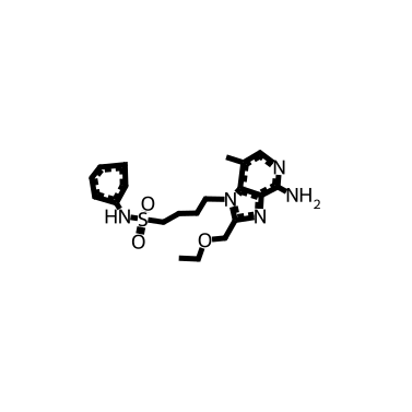 CCOCc1nc2c(N)ncc(C)c2n1CCCCS(=O)(=O)Nc1ccccc1